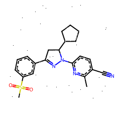 Cc1nc(N2N=C(c3cccc(S(C)(=O)=O)c3)CC2C2CCCC2)ccc1C#N